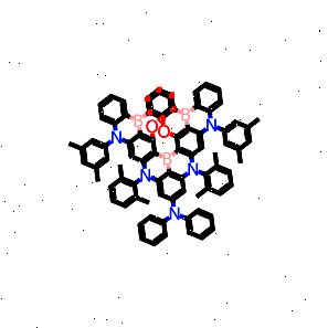 Cc1cc(C)cc(N2c3ccccc3B3c4ccccc4Oc4c3c2cc2c4B3c4c(cc(N(c5ccccc5)c5ccccc5)cc4N(c4c(C)cccc4C)c4cc5c6c(c43)Oc3ccccc3B6c3ccccc3N5c3cc(C)cc(C)c3)N2c2c(C)cccc2C)c1